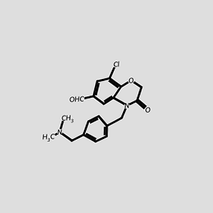 CN(C)Cc1ccc(CN2C(=O)COc3c(Cl)cc(C=O)cc32)cc1